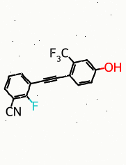 N#Cc1cccc(C#Cc2ccc(O)cc2C(F)(F)F)c1F